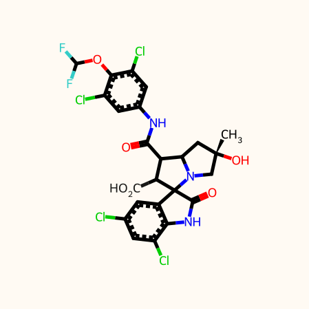 C[C@]1(O)CC2C(C(=O)Nc3cc(Cl)c(OC(F)F)c(Cl)c3)C(C(=O)O)C3(C(=O)Nc4c(Cl)cc(Cl)cc43)N2C1